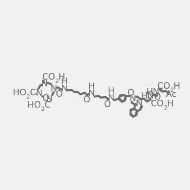 CC(=O)CC[C@@H](NC(=O)N[C@H](CCCCN(Cc1nccc2ccccc12)C(=O)c1ccc(CNC(=O)CCCCNC(=O)CCCCCCNC(=O)CN2CCN(CC(=O)O)CCN(CC(=O)O)CCN(CC(=O)O)CC2)cc1)C(=O)O)C(=O)O